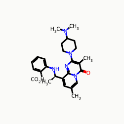 Cc1cc([C@@H](C)Nc2ccccc2C(=O)O)c2nc(N3CCC(N(C)C)CC3)c(C)c(=O)n2c1